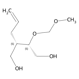 C=CC[C@@H](CO)[C@@H](CO)OCOC